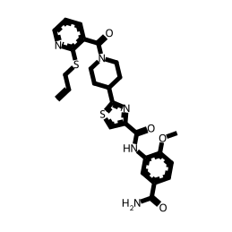 C=CCSc1ncccc1C(=O)N1CCC(c2nc(C(=O)Nc3cc(C(N)=O)ccc3OC)cs2)CC1